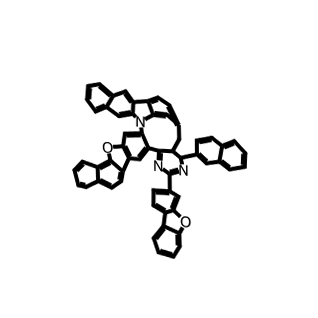 c1ccc2cc(C3N=C(c4ccc5c(c4)oc4ccccc45)N=C4c5cc6c(cc5-n5c7cc(ccc7c7cc8ccccc8cc75)CC43)oc3c4ccccc4ccc63)ccc2c1